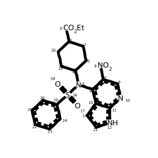 CCOC(=O)C1CCC(N(c2c([N+](=O)[O-])cnc3[nH]ccc23)S(=O)(=O)c2ccccc2)CC1